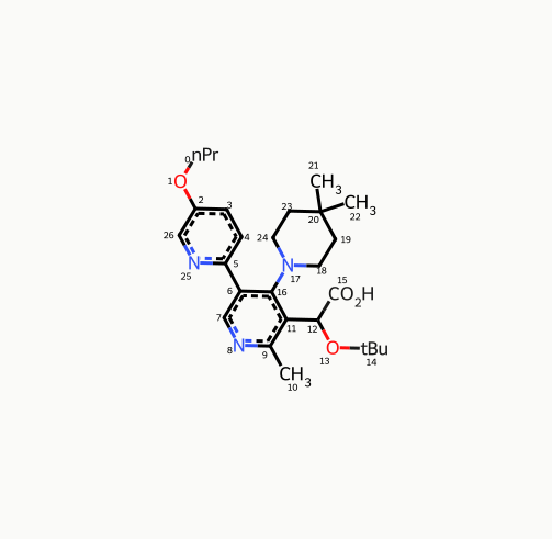 CCCOc1ccc(-c2cnc(C)c(C(OC(C)(C)C)C(=O)O)c2N2CCC(C)(C)CC2)nc1